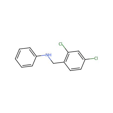 Clc1ccc(CNc2ccccc2)c(Cl)c1